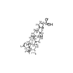 C=C(C)[C@@H]1CC[C@]2(CC)CC[C@]3(C)[C@H](CC[C@@H]4[C@@]5(C)CC=C(c6ccc(C(=O)O)s6)C(C)(C)[C@@H]5CC[C@]43C)[C@@H]12